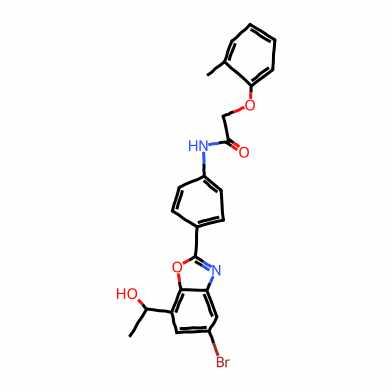 Cc1ccccc1OCC(=O)Nc1ccc(-c2nc3cc(Br)cc(C(C)O)c3o2)cc1